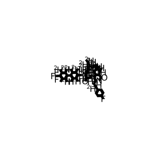 [2H]c1c([2H])c(C([2H])([2H])N(C(=O)C([2H])([2H])n2c(SC([2H])([2H])c3ccc(F)cc3)nc(=O)c3c2C([2H])([2H])C([2H])([2H])C3([2H])[2H])C([2H])([2H])C([2H])([2H])N(C([2H])([2H])C)C([2H])([2H])C)c([2H])c([2H])c1-c1c([2H])c([2H])c(C(F)(F)F)c(C)c1[2H]